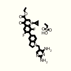 CCOC(=O)c1cn(C2CC2)c2c(F)c(-c3ccc4c(c3)CCN4Cc3cnc(N)nc3N)c(F)cc2c1=O.CCS(=O)(=O)O